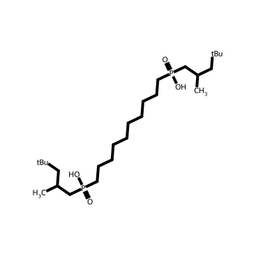 CC(CC(C)(C)C)CP(=O)(O)CCCCCCCCCCP(=O)(O)CC(C)CC(C)(C)C